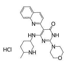 CC1CCC(Nc2nc(N3CCOCC3)[nH]c(=O)c2-c2ccc3ccccc3n2)CN1.Cl